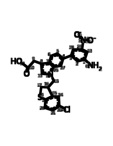 Nc1cc(-c2ccc3c(CC(=O)O)cn(CC4CSc5ccc(Cl)cc54)c3c2)cc([N+](=O)[O-])c1